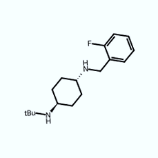 CC(C)(C)N[C@H]1CC[C@H](NCc2ccccc2F)CC1